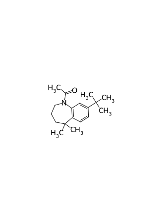 CC(=O)N1CCCC(C)(C)c2ccc(C(C)(C)C)cc21